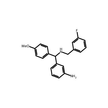 COc1ccc(C(NCc2cccc(F)c2)c2cccc(N)c2)cc1